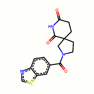 O=C1CCC2(CCN(C(=O)c3ccc4ncsc4c3)C2)C(=O)N1